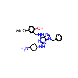 COc1ccc(O)c(CNc2nc(NC3CCC(N)CC3)nc3c2ncn3Cc2ccccc2)c1